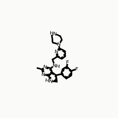 Cc1nc(NCc2cccc(N3CCNCC3)n2)c2c(-c3ccc(F)c(F)c3)c[nH]c2n1